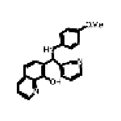 COc1ccc(NC(c2cccnc2)c2ccc3cccnc3c2O)cc1